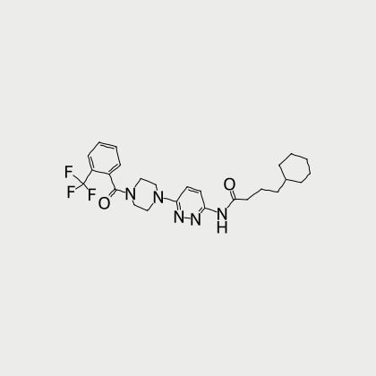 O=C(CCCC1CCCCC1)Nc1ccc(N2CCN(C(=O)c3ccccc3C(F)(F)F)CC2)nn1